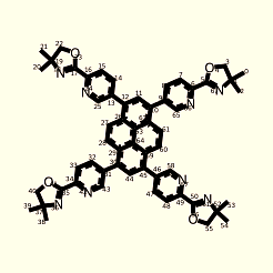 CC1(C)COC(c2ccc(-c3cc(-c4ccc(C5=NC(C)(C)CO5)nc4)c4ccc5c(-c6ccc(C7=NC(C)(C)CO7)nc6)cc(-c6ccc(C7=NC(C)(C)CO7)nc6)c6ccc3c4c65)cn2)=N1